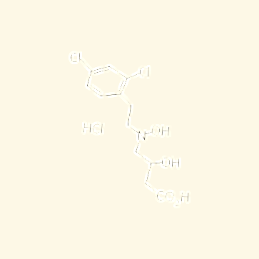 Cl.O=C(O)CC(O)CN(O)CCc1ccc(Cl)cc1Cl